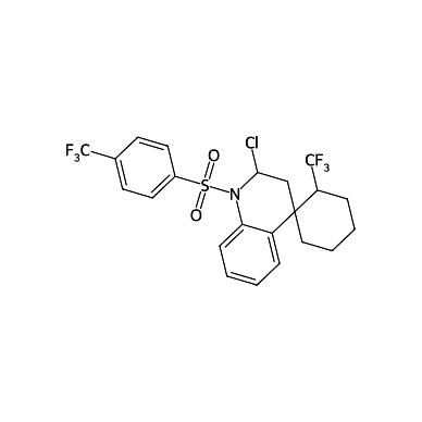 O=S(=O)(c1ccc(C(F)(F)F)cc1)N1c2ccccc2C2(CCCCC2C(F)(F)F)CC1Cl